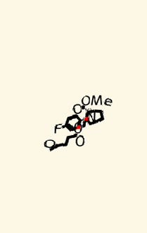 COC(=O)[C@@H]1C2CCC(C[C@@H]1c1ccc(F)cc1)N2CCOC(=O)CCC1CO1